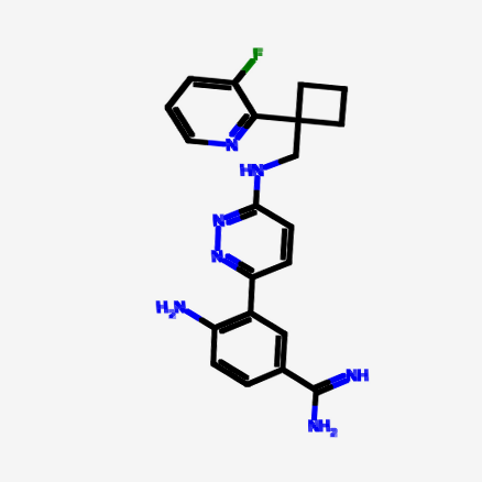 N=C(N)c1ccc(N)c(-c2ccc(NCC3(c4ncccc4F)CCC3)nn2)c1